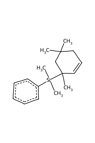 CC1(C)CC=CC(C)([Si](C)(C)c2ccccc2)C1